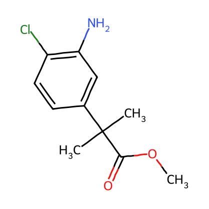 COC(=O)C(C)(C)c1ccc(Cl)c(N)c1